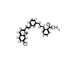 CC(=O)c1ccccc1CC[CH]c1cccc(C=Cc2ccc3ccc(Cl)cc3n2)c1